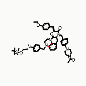 CCOc1ccc(C=CC(=O)N(Cc2ccc(N3CCN(C(C)=O)CC3)cc2)C(Cc2ccccc2)C(=O)N2CCN(Cc3ccc(N(C)CCO[Si](C)(C)C(C)(C)C)cc3)CC2)cc1